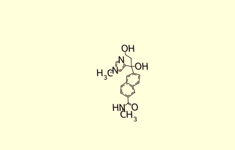 CNC(=O)c1ccc2cc(C(O)(CCO)c3cn(C)cn3)ccc2c1